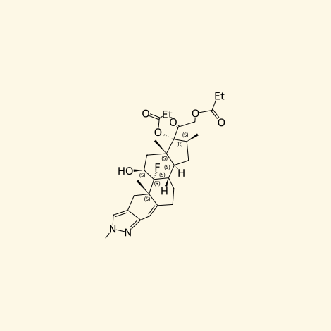 CCC(=O)OCC(=O)[C@@]1(OC(=O)CC)[C@@H](C)C[C@H]2[C@@H]3CCC4=Cc5nn(C)cc5C[C@]4(C)[C@@]3(F)[C@@H](O)C[C@@]21C